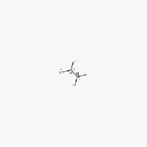 C[SiH](C)[SiH](C)Cl